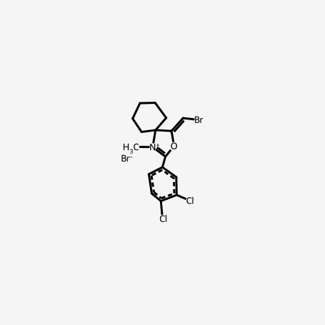 C[N+]1=C(c2ccc(Cl)c(Cl)c2)OC(=CBr)C12CCCCC2.[Br-]